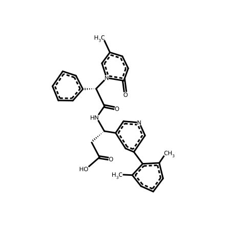 Cc1ccc(=O)n([C@H](C(=O)N[C@@H](CC(=O)O)c2cncc(-c3c(C)cccc3C)c2)c2ccccc2)c1